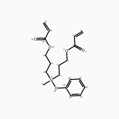 C=CC(=O)OCCC[Si](C)(CCCOC(=O)C=C)Oc1ccccc1